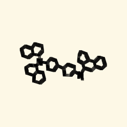 CN(c1ccc(-c2ccc(N(c3cccc4ccccc34)c3cccc4ccccc34)cc2)cc1)c1cc2ccccc2c2ccccc12